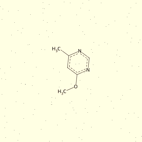 COc1cc(C)ncn1